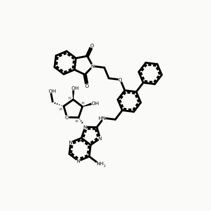 Nc1ncnc2c1nc(NCc1ccc(-c3ccccc3)c(OCCN3C(=O)c4ccccc4C3=O)c1)n2[C@@H]1O[C@H](CO)[C@@H](O)[C@H]1O